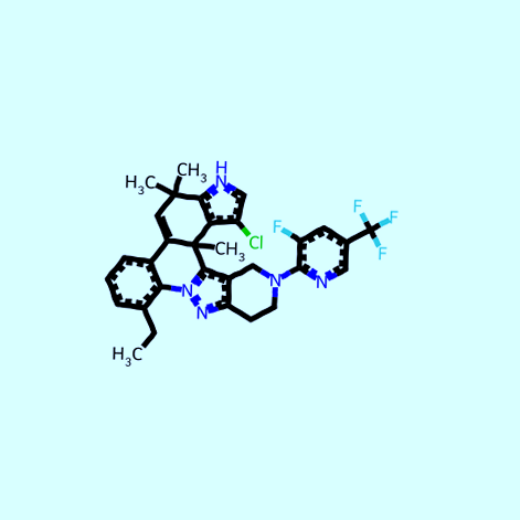 CCc1cccc2c1-n1nc3c(c1C1(C)C2=CC(C)(C)c2[nH]cc(Cl)c21)CN(c1ncc(C(F)(F)F)cc1F)CC3